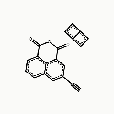 C#Cc1cc2c3c(cccc3c1)C(=O)OC2=O.c1cc2ccc1-2